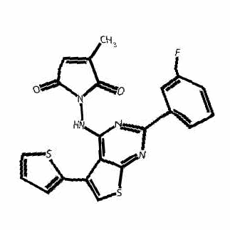 CC1=CC(=O)N(Nc2nc(-c3cccc(F)c3)nc3scc(-c4cccs4)c23)C1=O